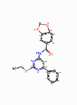 N#CCSc1nc(NC(=O)c2ccc3c(c2)OCO3)cc(-c2ccccc2)n1